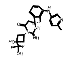 Cc1ccc(Nc2cccc3c2C[C@]32CC(=O)N([C@H]3C[C@@](O)(C(O)(F)F)C3)C(=N)N2)cn1